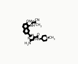 C=C(C#N)CNc1c(OC)ccc2ccc(-c3nc(N)cc(C(=O)NC4CCN(C)CC4)n3)cc12